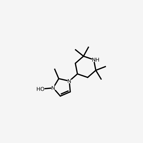 CC1N(O)C=CN1C1CC(C)(C)NC(C)(C)C1